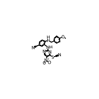 COc1ccc(CNc2ccc(C#N)cc2Nc2ncc([N+](=O)[O-])c(SC#N)n2)cc1